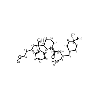 CNCC(CC1CCC(F)(F)CC1)NC(=O)N1CCCC(C(O)(CCCCOC)c2ccccc2)C1